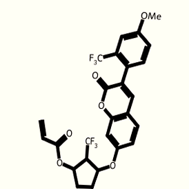 C=CC(=O)OC1CCC(Oc2ccc3cc(-c4ccc(OC)cc4C(F)(F)F)c(=O)oc3c2)C1C(F)(F)F